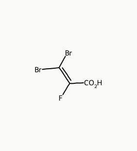 O=C(O)C(F)=C(Br)Br